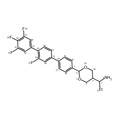 CCC(N)C1COC(c2ccc(-c3ccc(-c4cc(F)c(F)c(F)c4)c(F)c3)cc2)OC1